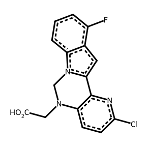 O=C(O)CN1Cn2c(cc3c(F)cccc32)-c2nc(Cl)ccc21